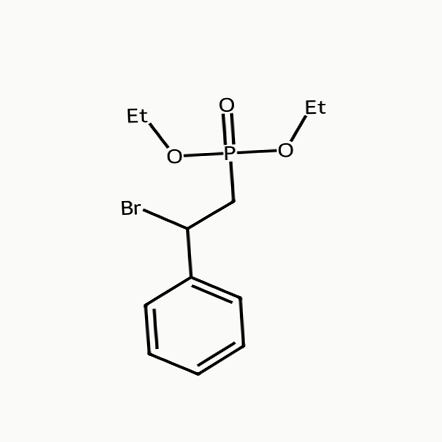 CCOP(=O)(CC(Br)c1ccccc1)OCC